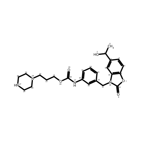 CC(O)c1ccc2oc(=O)n(Cc3cccc(NC(=O)OCCCN4CCNCC4)c3)c2c1